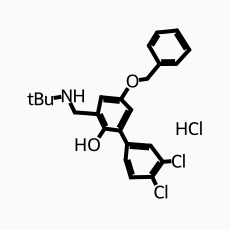 CC(C)(C)NCc1cc(OCc2ccccc2)cc(-c2ccc(Cl)c(Cl)c2)c1O.Cl